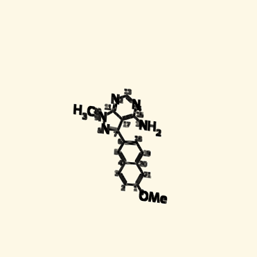 COc1ccc2cc(-c3nn(C)c4ncnc(N)c34)ccc2c1